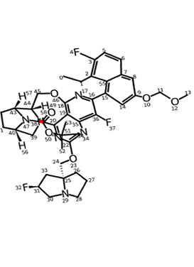 CCc1c(F)ccc2cc(OCOC)cc(-c3nc4c5c(nc(OC[C@]67CCCN6C[C@@H](F)C7)nc5c3F)N3C[C@@H]5CC[C@H]([C@@H]3CO4)N5C(=O)OC(C)(C)C)c12